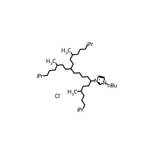 CCCCn1cc[n+](C(CCCCC(CCC(C)CCCC(C)C)CCC(C)CCCC(C)C)CCC(C)CCCC(C)C)c1.[Cl-]